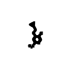 [CH2]c1cc(OCC2CC2)c(Cl)cn1